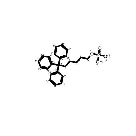 O=P(O)(O)OCCCCCC(c1ccccc1)(c1ccccc1)c1ccccc1